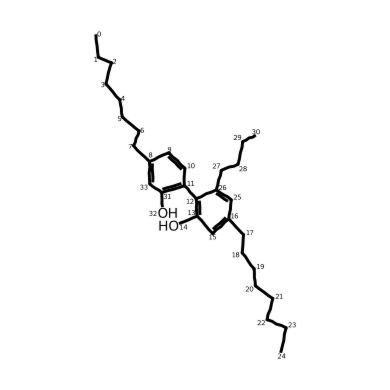 CCCCCCCCc1ccc(-c2c(O)cc(CCCCCCCC)cc2CCCC)c(O)c1